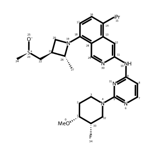 CO[C@@H]1CCN(c2nccc(Nc3cc4c(C(C)C)ccc(N5C[C@H](C[S@@+](C)[O-])[C@H]5C)c4cn3)n2)C[C@@H]1F